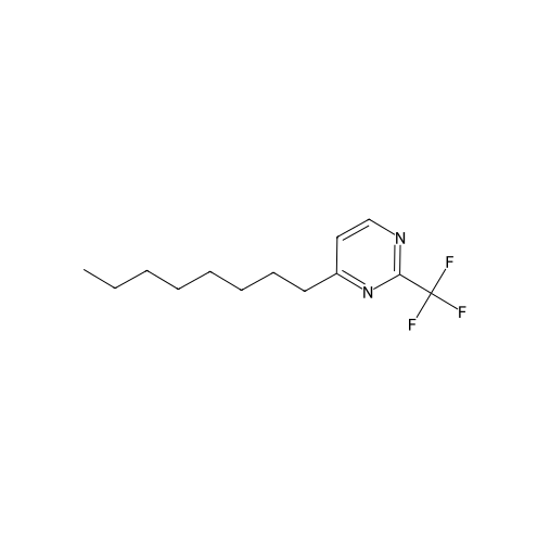 CCCCCCCCc1ccnc(C(F)(F)F)n1